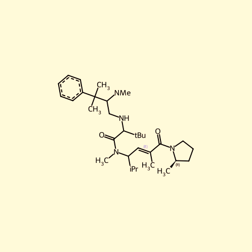 CNC(CNC(C(=O)N(C)C(/C=C(\C)C(=O)N1CCC[C@H]1C)C(C)C)C(C)(C)C)C(C)(C)c1ccccc1